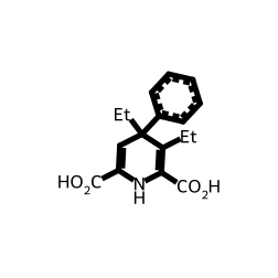 CCC1=C(C(=O)O)NC(C(=O)O)=CC1(CC)c1ccccc1